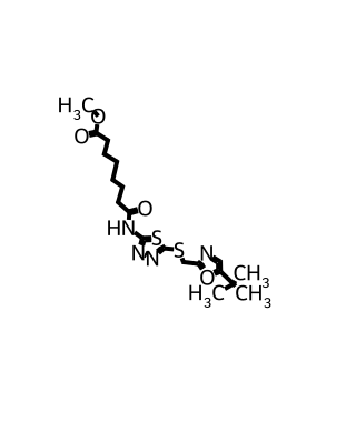 COC(=O)CCCCCCC(=O)Nc1nnc(SCc2ncc(C(C)(C)C)o2)s1